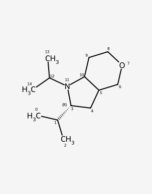 CC(C)[C@H]1CC2COCCC2N1C(C)C